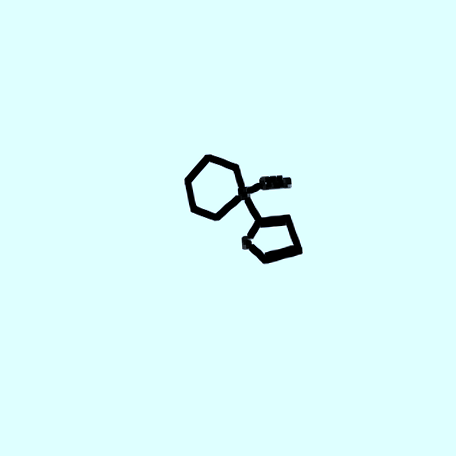 CO[Si]1(c2cccs2)CCCCC1